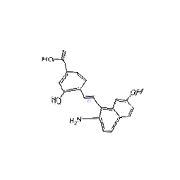 C=C(O)c1ccc(/C=C/c2c(N)ccc3ccc(O)cc23)c(O)c1